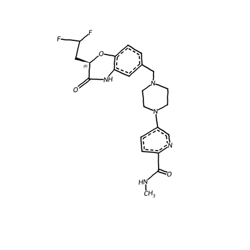 CNC(=O)c1ccc(N2CCN(Cc3ccc4c(c3)NC(=O)[C@@H](CC(F)F)O4)CC2)cn1